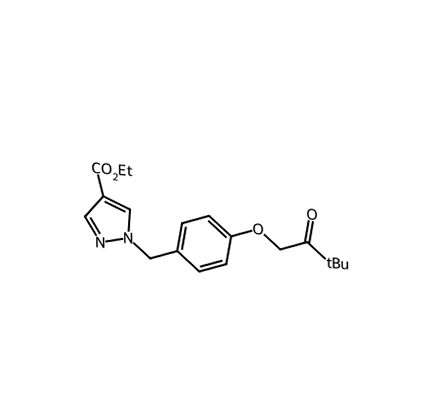 CCOC(=O)c1cnn(Cc2ccc(OCC(=O)C(C)(C)C)cc2)c1